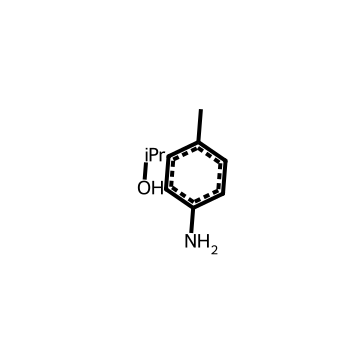 CC(C)O.Cc1ccc(N)cc1